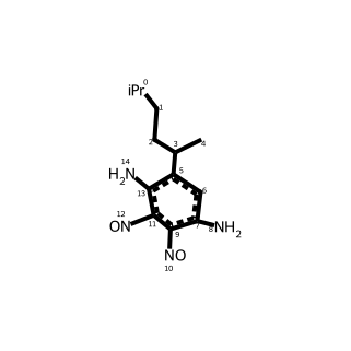 CC(C)CCC(C)c1cc(N)c(N=O)c(N=O)c1N